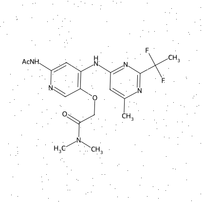 CC(=O)Nc1cc(Nc2cc(C)nc(C(C)(F)F)n2)c(OCC(=O)N(C)C)cn1